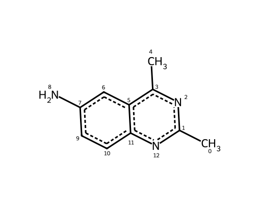 Cc1nc(C)c2cc(N)ccc2n1